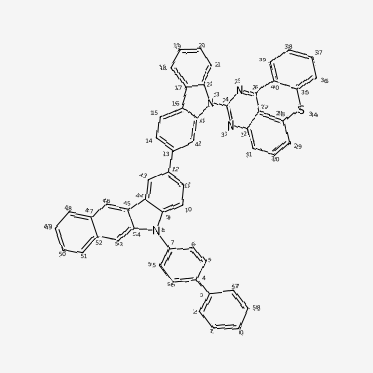 c1ccc(-c2ccc(-n3c4ccc(-c5ccc6c7ccccc7n(-c7nc8c9c(cccc9n7)Sc7ccccc7-8)c6c5)cc4c4cc5ccccc5cc43)cc2)cc1